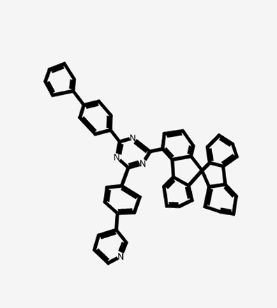 c1ccc(-c2ccc(-c3nc(-c4ccc(-c5cccnc5)cc4)nc(-c4cccc5c4-c4ccccc4C54c5ccccc5-c5ccccc54)n3)cc2)cc1